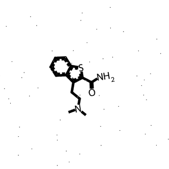 CN(C)CCc1c(C(N)=O)sc2ccccc12